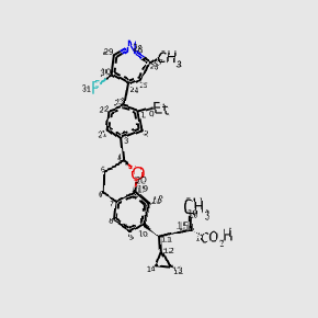 CCc1cc(C2CCc3ccc([C@H](C4CC4)[C@H](C)C(=O)O)cc3O2)ccc1-c1cc(C)ncc1F